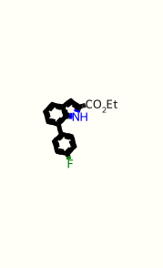 CCOC(=O)c1cc2cccc(-c3ccc(F)cc3)c2[nH]1